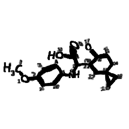 COc1ccc(NC(C(=O)O)[C@@H]2CC3(CCC2=O)CC3)cc1